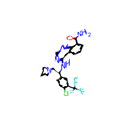 NC(=O)c1cccc2c(N[C@H](CN3CCC3)c3ccc(Cl)c(C(F)(F)F)c3)ncnc12